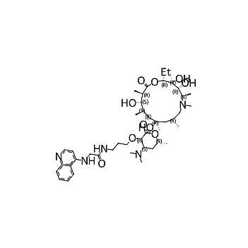 CC[C@H]1OC(=O)[C@H](C)[C@@H](O)[C@H](C)[C@@H](O[C@@H]2O[C@H](C)C[C@H](N(C)C)[C@H]2OCCCNC(=O)CNc2ccnc3ccccc23)[C@](C)(O)C[C@@H](C)CN(C)[C@H](C)[C@@H](O)[C@]1(C)O